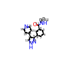 CCCCNC(=O)c1cccc(-c2n[nH]cc2-c2ccncc2)c1